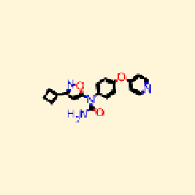 NC(=O)N(c1ccc(Oc2ccncc2)cc1)c1cc(C2CCC2)no1